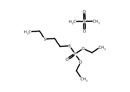 CCOP(=O)(OCC)SCCSCC.CS(C)(=O)=O